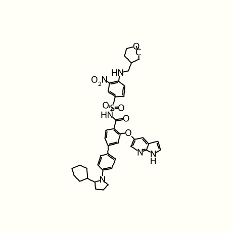 O=C(NS(=O)(=O)c1ccc(NCC2CCOCC2)c([N+](=O)[O-])c1)c1ccc(-c2ccc(N3CCCC3C3CCCCC3)cc2)cc1Oc1cnc2[nH]ccc2c1